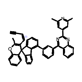 C#C/C=C\C1=C(C)Oc2ccccc2C12c1ccccc1-c1c(-c3cccc(-c4nc(-c5cc(C)nc(C)c5)nc5ccccc45)c3)cccc12